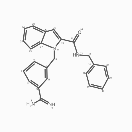 N=C(N)c1cccc(Cn2c(C(=O)NCc3ccccc3)cc3ccccc32)c1